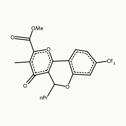 CCCC1Oc2cc(C(F)(F)F)ccc2-c2oc(C(=O)OC)c(C)c(=O)c21